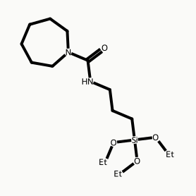 CCO[Si](CCCNC(=O)N1CCCCCC1)(OCC)OCC